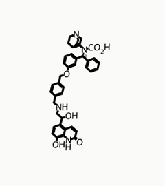 O=C(O)N(C1CN2CCC1CC2)[C@@H](c1ccccc1)c1cccc(OCc2ccc(CNCC(O)c3ccc(O)c4[nH]c(=O)ccc34)cc2)c1